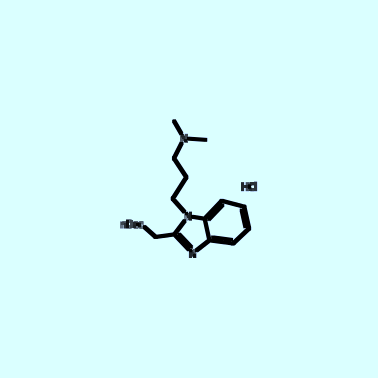 CCCCCCCCCCCc1nc2ccccc2n1CCCN(C)C.Cl